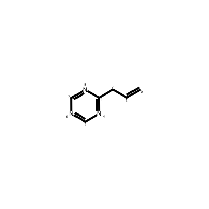 C=CCc1n[c]ncn1